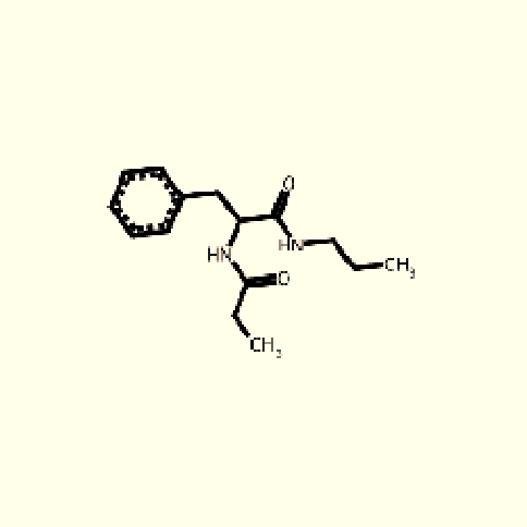 CCCNC(=O)C(Cc1ccccc1)NC(=O)CC